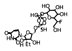 CC[C@@]1(O)[C@H](O)[C@@H](COP(=O)(S)OP(=O)(O)OC2OC([C@@H](F)CO)C(O)C(O)C2O)O[C@H]1n1ccc(=O)[nH]c1=O